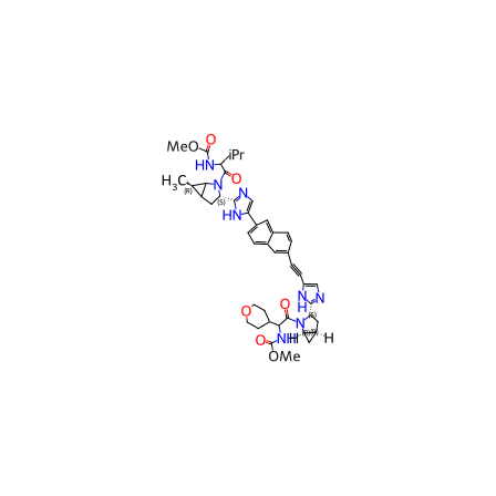 COC(=O)NC(C(=O)N1C2C(C[C@H]1c1ncc(-c3ccc4cc(C#Cc5cnc([C@@H]6C[C@H]7C[C@H]7N6C(=O)C(NC(=O)OC)C6CCOCC6)[nH]5)ccc4c3)[nH]1)[C@H]2C)C(C)C